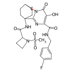 CS(=O)(=O)N1CCC1C(=O)NC12CCC(CC1)Cn1c2nc(C(=O)NCc2ccc(F)cc2)c(O)c1=O